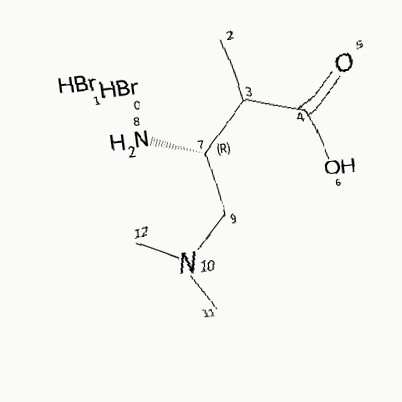 Br.Br.CC(C(=O)O)[C@@H](N)CN(C)C